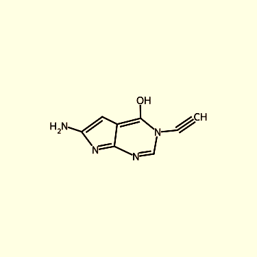 C#Cn1cnc2nc(N)cc-2c1O